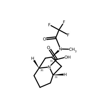 CN(C(=O)C(F)(F)F)[C@@H]1C[C@H]2CCC[C@@H](C1)N2C(=O)O